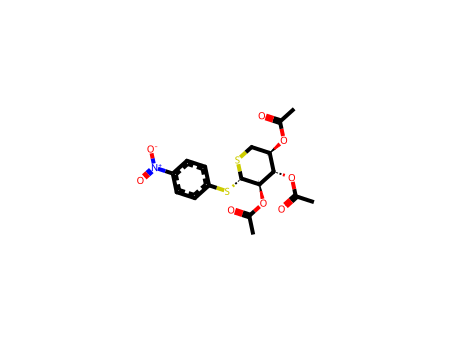 CC(=O)O[C@@H]1[C@@H](OC(C)=O)[C@H](Sc2ccc([N+](=O)[O-])cc2)SC[C@H]1OC(C)=O